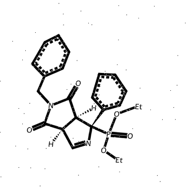 CCOP(=O)(OCC)[C@]1(c2ccccc2)N=C[C@H]2C(=O)N(Cc3ccccc3)C(=O)[C@H]21